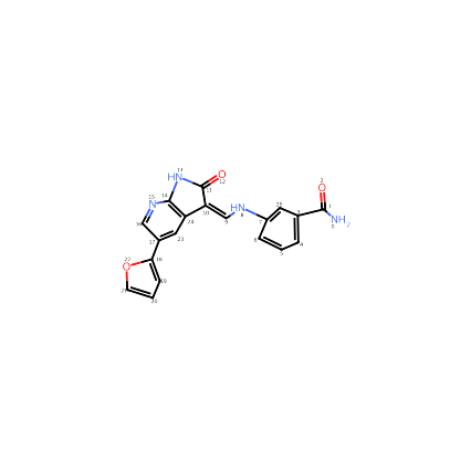 NC(=O)c1cccc(NC=C2C(=O)Nc3ncc(-c4ccco4)cc32)c1